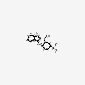 COc1cc([S+](C)[O-])ccc1Nc1n[nH]c2ccccc12